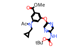 COC(=O)c1cc(Oc2cnc(NC(=O)OC(C)(C)C)cn2)cc(N(CC2CC2)C(C)=O)c1